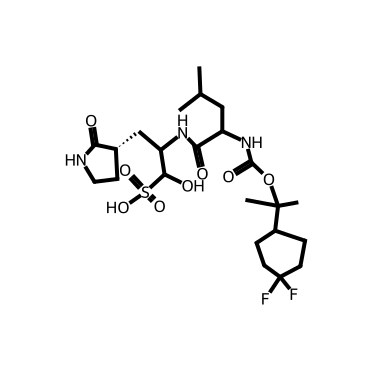 CC(C)CC(NC(=O)OC(C)(C)C1CCC(F)(F)CC1)C(=O)NC(C[C@@H]1CCNC1=O)C(O)S(=O)(=O)O